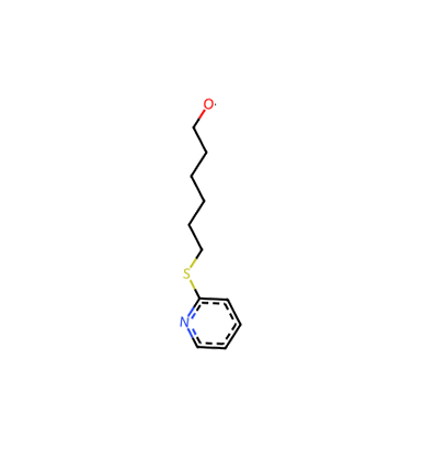 [O]CCCCCCSc1ccccn1